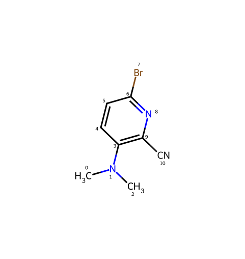 CN(C)c1ccc(Br)nc1C#N